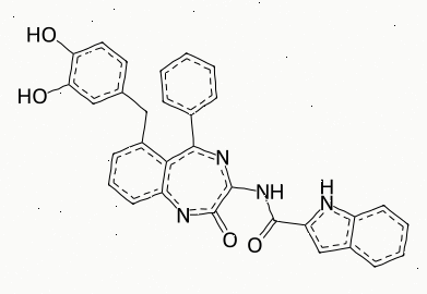 O=C(Nc1nc(-c2ccccc2)c2c(Cc3ccc(O)c(O)c3)cccc2nc1=O)c1cc2ccccc2[nH]1